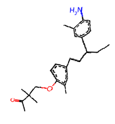 CCC(CCc1ccc(OCC(C)(C)C(C)=O)c(C)c1)c1ccc(N)c(C)c1